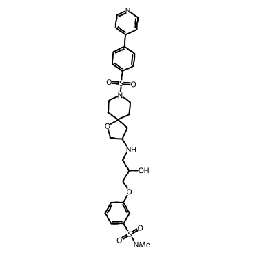 CNS(=O)(=O)c1cccc(OCC(O)CNC2COC3(CCN(S(=O)(=O)c4ccc(-c5ccncc5)cc4)CC3)C2)c1